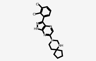 Clc1cccc(-c2n[nH]c3nc(N4CCC5(CCCC5)NC4)cnc23)c1Cl